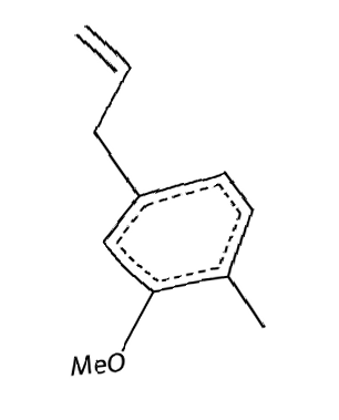 C=CCc1ccc(C)c(OC)c1